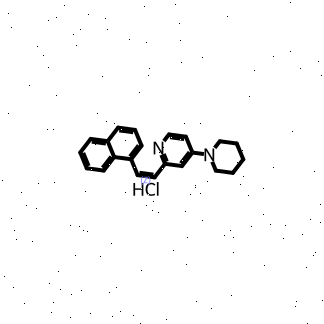 C(=C/c1cccc2ccccc12)/c1cc(N2CCCCC2)ccn1.Cl